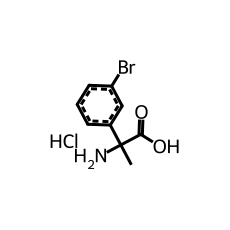 CC(N)(C(=O)O)c1cccc(Br)c1.Cl